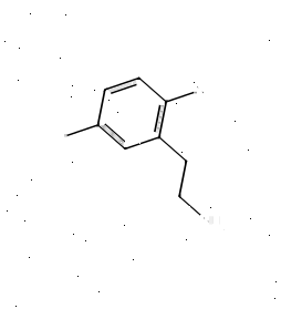 Cl.Cl.NCCc1cc(Cl)ccc1N